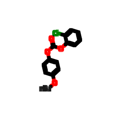 CCCCOc1ccc(OC(=O)Oc2ccccc2Cl)cc1